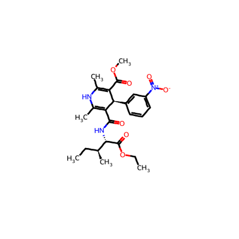 CCOC(=O)[C@@H](NC(=O)C1=C(C)NC(C)=C(C(=O)OC)[C@H]1c1cccc([N+](=O)[O-])c1)[C@@H](C)CC